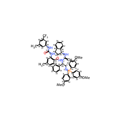 C=C(N[C@@H](CN=P(c1ccc(OC)cc1)(c1ccc(OC)cc1)c1ccc(OC)cc1)c1ccccc1)N[C@@H]1c2ccccc2C[C@H]1Oc1ccc(C)cc1NC(=O)Nc1cc(C)cc(C(F)(F)F)c1